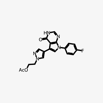 CC(=O)OCCn1cc(-c2cn(-c3ccc(F)cc3)c3nc[nH]c(=O)c23)cn1